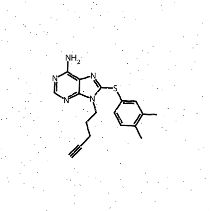 C#CCCCn1c(Sc2ccc(C)c(C)c2)nc2c(N)ncnc21